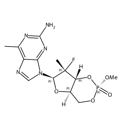 CO[P@]1(=O)OC[C@H]2O[C@@H](n3cnc4c(C)nc(N)nc43)[C@](C)(F)[C@@H]2O1